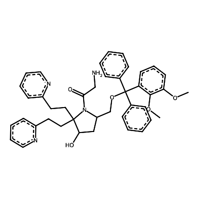 COc1cccc(C(OCC2CC(O)C(CCc3ccccn3)(CCc3ccccn3)N2C(=O)CN)(c2ccccc2)c2ccccc2)c1OC